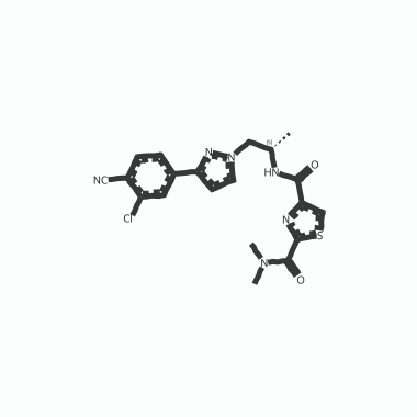 C[C@@H](Cn1ccc(-c2ccc(C#N)c(Cl)c2)n1)NC(=O)c1csc(C(=O)N(C)C)n1